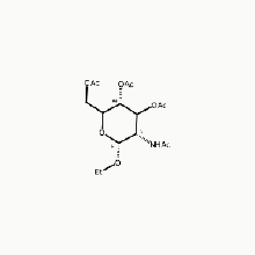 CCO[C@@H]1OC(COC(C)=O)[C@H](OC(C)=O)C(OC(C)=O)[C@@H]1NC(C)=O